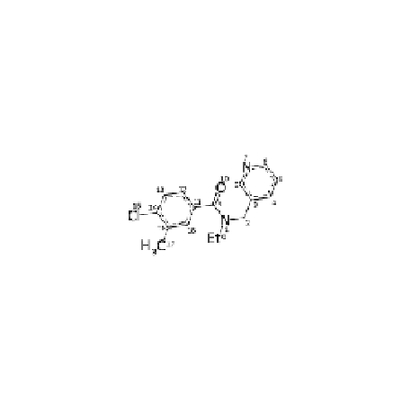 CCN(Cc1cccnc1)C(=O)c1ccc(Cl)c(C)c1